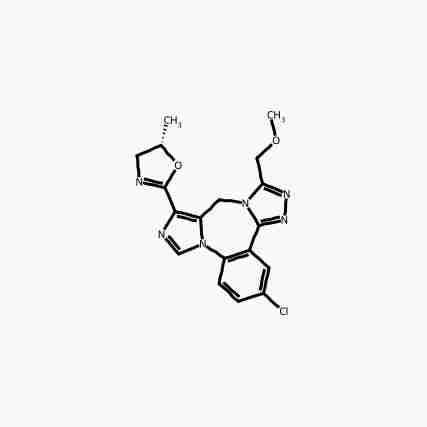 COCc1nnc2n1Cc1c(C3=NC[C@H](C)O3)ncn1-c1ccc(Cl)cc1-2